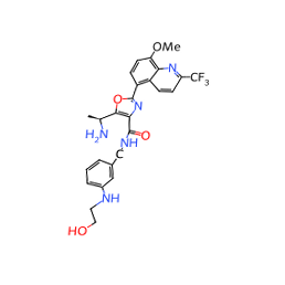 COc1ccc(-c2nc(C(=O)NCc3cccc(NCCO)c3)c([C@H](C)N)o2)c2ccc(C(F)(F)F)nc12